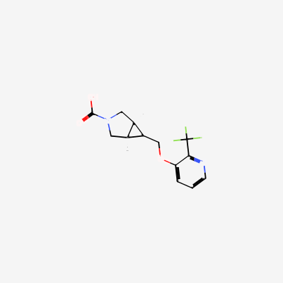 O=C(O)N1C[C@@H]2C(COc3cccnc3C(F)(F)F)[C@@H]2C1